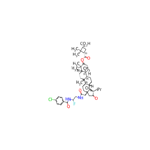 CC(C)C1=C2[C@H]3CC[C@@H]4[C@@]5(C)CC[C@H](OC(=O)[C@H]6C[C@@H](C(=O)O)C6(C)C)C(C)(C)[C@@H]5CC[C@@]4(C)[C@]3(C)CC[C@@]2(CC(=O)NCC(F)NC(=O)c2ccc(Cl)cc2)CC1=O